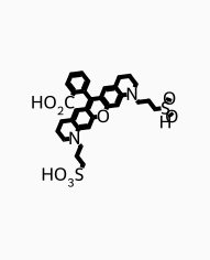 O=C(O)c1ccccc1C1=C2C=C3CCCN(CCCS(=O)(=O)O)C3=CC2Oc2cc3c(cc21)CCCN3CCC[SH](=O)=O